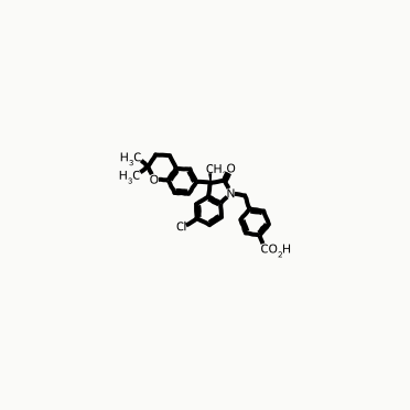 CC1(C)CCc2cc([C@]3(C)C(=O)N(Cc4ccc(C(=O)O)cc4)c4ccc(Cl)cc43)ccc2O1